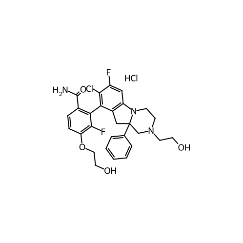 Cl.NC(=O)c1ccc(OCCO)c(F)c1-c1c(Cl)c(F)cc2c1CC1(c3ccccc3)CN(CCO)CCN21